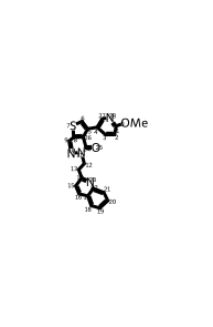 COc1ccc(-c2csc3cnn(CCc4ccc5ccccc5n4)c(=O)c23)cn1